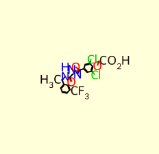 CC(NC(=O)c1noc(-c2cc(Cl)c(OCC(=O)O)c(Cl)c2)n1)c1cccc(C(F)(F)F)c1